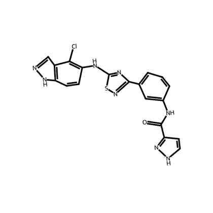 O=C(Nc1cccc(-c2nsc(Nc3ccc4[nH]ncc4c3Cl)n2)c1)c1cc[nH]n1